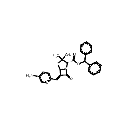 CC1(C)SC2/C(=C\c3ccc(N)cn3)C(=O)N2[C@H]1C(=O)OC(c1ccccc1)c1ccccc1